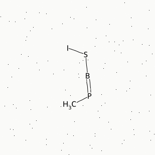 CP=BSI